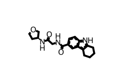 O=C(CNC(=O)c1ccc2[nH]c3c(c2c1)CCCC3)N[C@H]1CCOC1